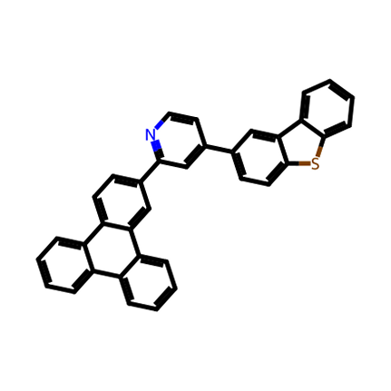 c1ccc2c(c1)sc1ccc(-c3ccnc(-c4ccc5c6ccccc6c6ccccc6c5c4)c3)cc12